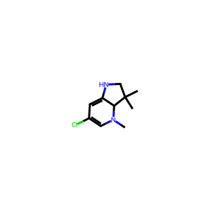 CN1C=C(Cl)C=C2NCC(C)(C)C21